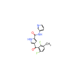 Cc1ccc(F)c(C(=O)c2c[nH]c(C(=O)Nc3cccnc3)c2)c1F